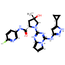 C[C@]1(O)C[C@@H](C(=O)Nc2ccc(F)nc2)N(c2nc(Nc3cc(C4CC4)[nH]n3)n3cccc3n2)C1